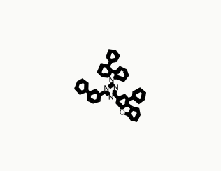 c1ccc(-c2cccc(-c3nc(-c4cc(-c5ccccc5)c5c(c4)oc4ccccc45)nc(-n4c5ccccc5c5c(-c6ccccc6)cccc54)n3)c2)cc1